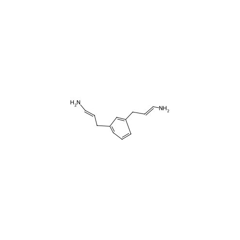 NC=CCc1cccc(CC=CN)c1